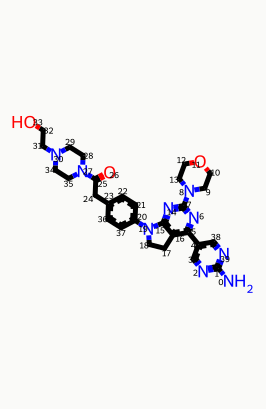 Nc1ncc(-c2nc(N3CCOCC3)nc3c2CCN3c2ccc(CC(=O)N3CCN(CCO)CC3)cc2)cn1